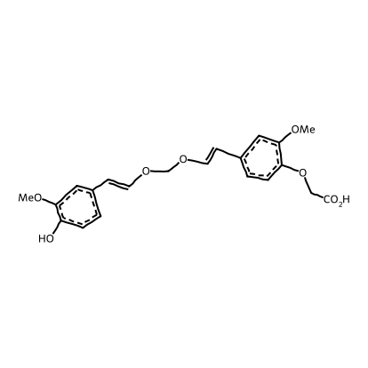 COc1cc(/C=C/OCO/C=C/c2ccc(OCC(=O)O)c(OC)c2)ccc1O